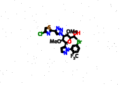 COC1C(n2cc(-c3nc(Cl)cs3)nn2)[C@@H](OC)C(C(C)O)O[C@H]1c1ccnn1-c1cc(Br)ccc1C(F)(F)F